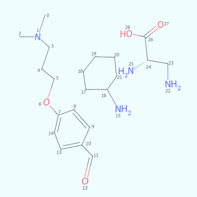 CN(C)CCCOc1ccc(C=O)cc1.NC1CCCCC1.NC[C@H](N)C(=O)O